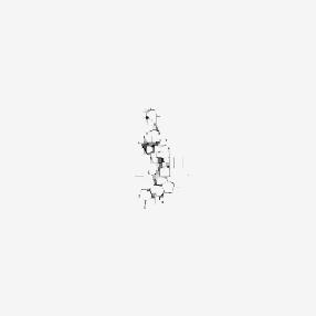 CC1CCc2c1nc1c(c2NC(=O)N=S(N)(=O)c2cnn3c2OCC(N2CCCC2)C3)CCC1